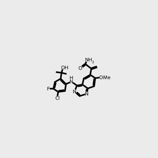 C=C(C(N)=O)c1cc2c(Nc3cc(Cl)c(F)cc3C(C)(C)O)ncnc2cc1OC